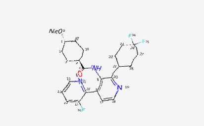 CO[C@H]1CC[C@H](C(=O)Nc2c(-c3ncccc3F)ccnc2C2CCC(F)(F)CC2)CC1